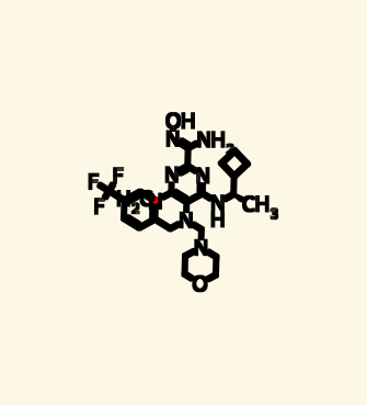 C=Nc1nc(/C(N)=N/O)nc(N[C@H](C)C2CCC2)c1N(Cc1ccc(C(F)(F)F)cc1)CN1CCOCC1